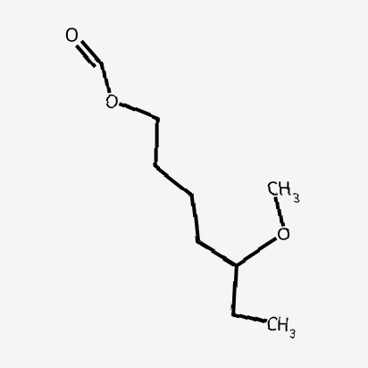 CCC(CCCCOC=O)OC